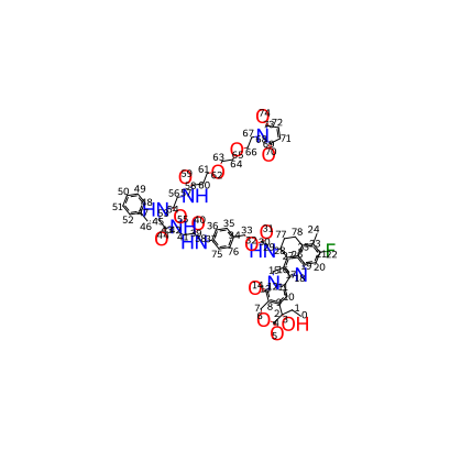 CC[C@@]1(O)C(=O)OCc2c1cc1n(c2=O)Cc2c-1nc1cc(F)c(C)c3c1c2[C@@H](NC(=O)OCc1ccc(NC(=O)CNC(=O)[C@H](Cc2ccccc2)NC(=O)CNC(=O)CCOCCOCCN2C(=O)C=CC2=O)cc1)CC3